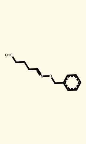 O=CCCC/C=N/OCc1ccccc1